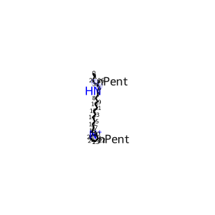 C=C/C=C\C(=C/NCCCCCCCCCCCC[N+]1=CC(CCCCC)CC=C1)CCCCC